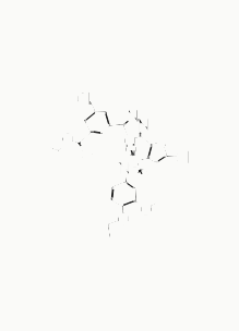 CCOC(=O)c1cc(Cl)cc(-c2nnc(-c3sc(Cl)cc3S(=O)(=O)N(C)c3ccc(OCC)c(OC)c3)o2)c1